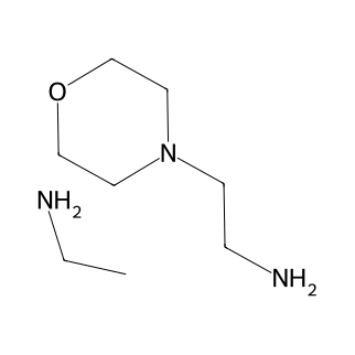 CCN.NCCN1CCOCC1